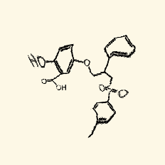 Cc1ccc(S(=O)(=O)CC(COc2ccc(O)c(C(=O)O)c2)c2ccccc2)cc1